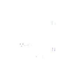 COC(C)c1cc(Br)ccn1